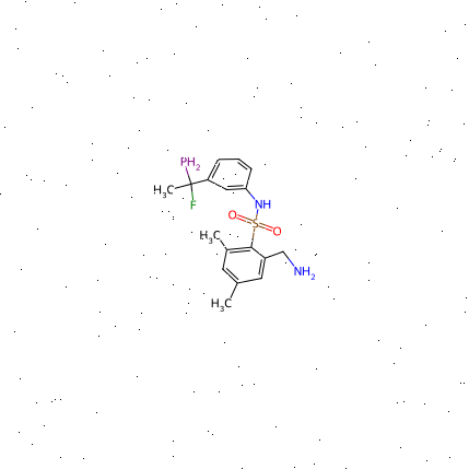 Cc1cc(C)c(S(=O)(=O)Nc2cccc(C(C)(F)P)c2)c(CN)c1